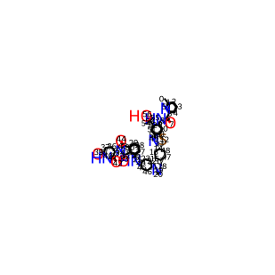 Cc1cccc(C(=O)Nc2cc3sc([C@H]4CC[C@H](CN(C)[C@H]5CC[C@H](Nc6cccc7c6C(=O)N(C6CCC(=O)NC6=O)C7=O)CC5)CC4)nc3cc2C(C)(C)O)n1